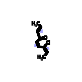 C/C=C/C(=O)/C=C\C(Cl)=C/C